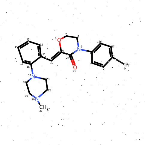 CC(C)c1ccc(N2CCOC(=Cc3ccccc3N3CCN(C)CC3)C2=O)cc1